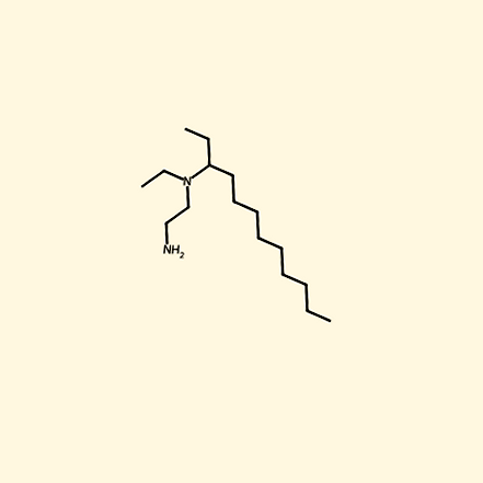 CCCCCCCCCC(CC)N(CC)CCN